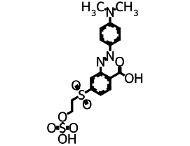 CN(C)c1ccc(N=Nc2cc(S(=O)(=O)CCOS(=O)(=O)O)ccc2C(=O)O)cc1